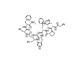 CC(C)CC(=O)N[C@@H](Cc1c[nH]cn1)C(=O)N1CCC[C@H]1C(=O)N[C@@H](CCc1ccccc1)C(=O)N[C@@H](Cc1c[nH]cn1)C(=O)NC(CC(C)C)[C@@H](O)CC(=O)N[C@@H](CC(C)C)C(=O)N[C@@H](Cc1ccccc1)C(N)=O